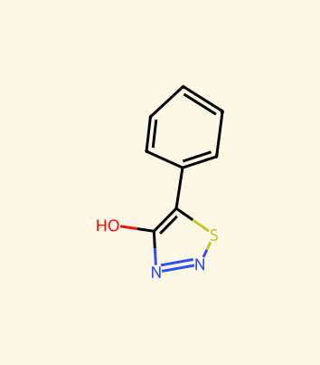 Oc1nnsc1-c1ccccc1